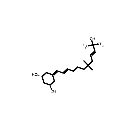 CC(C)(C/C=C/C(O)(C(F)(F)F)C(F)(F)F)CCC/C=C/C=C1C[C@@H](O)C[C@H](O)C1